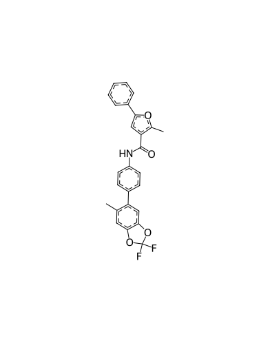 Cc1cc2c(cc1-c1ccc(NC(=O)c3cc(-c4ccccc4)oc3C)cc1)OC(F)(F)O2